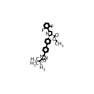 CCOC(=O)[C@H]1CC(c2c(F)cccc2F)=N[C@H]1c1ccc(-c2ccc(-c3noc(C(C)(C)C)n3)cc2)cc1